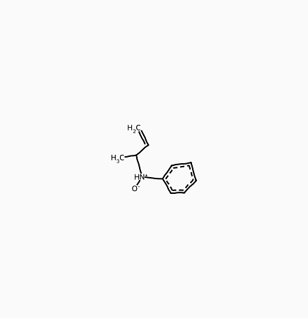 C=CC(C)[NH+]([O-])c1ccccc1